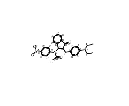 CCN(CC)c1ccc(CC2C(=O)c3ccccc3C2N(C(=O)O)c2ccc([N+](=O)[O-])cc2)cc1